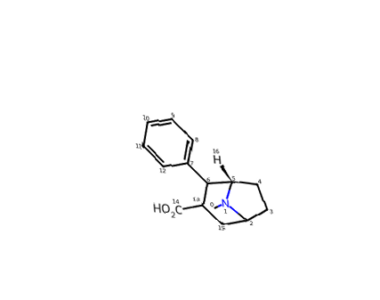 CN1C2CC[C@H]1C(c1ccccc1)C(C(=O)O)C2